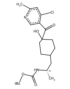 Cc1cc(Cl)c(C(=O)C2(O)CCC(C[C@H](C)NC(=O)OC(C)(C)C)CC2)cn1